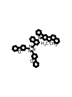 CC1(C)c2cc3c(cc2-c2ccc4ccccc4c21)c1ccccc1n3-c1ccc(-c2nc(-c3ccc4c(c3)oc3ccccc34)nc(-c3ccc4c(c3)oc3ccccc34)n2)c2ccccc12